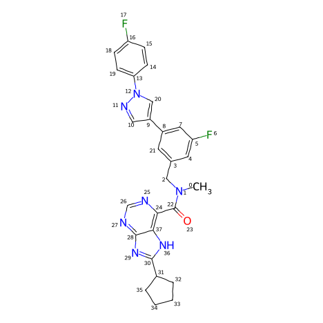 CN(Cc1cc(F)cc(-c2cnn(-c3ccc(F)cc3)c2)c1)C(=O)c1ncnc2nc(C3CCCC3)[nH]c12